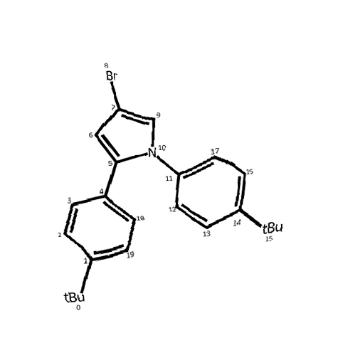 CC(C)(C)c1ccc(-c2cc(Br)cn2-c2ccc(C(C)(C)C)cc2)cc1